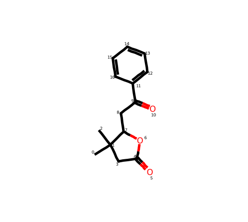 CC1(C)CC(=O)OC1CC(=O)c1ccccc1